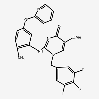 COc1cn(Cc2cc(F)c(F)c(F)c2)c(Nc2cc(Oc3ccccn3)ccc2C)nc1=O